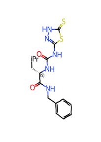 CC(C)C[C@H](NC(=O)Nc1n[nH]c(=S)s1)C(=O)NCc1ccccc1